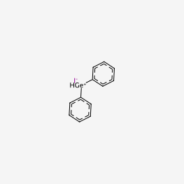 [I-].c1cc[c]([GeH+][c]2ccccc2)cc1